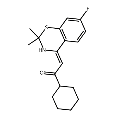 CC1(C)N/C(=C\C(=O)C2CCCCC2)c2ccc(F)cc2S1